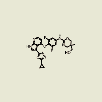 CC1(CO)CN=C(Nc2cc(F)c(Oc3ccnc4[nH]cc(-c5nnc(C6CC6)o5)c34)c(F)c2)OC1